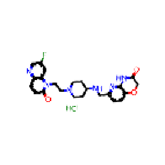 Cl.O=C1COc2ccc(CNC3CCN(CCn4c(=O)ccc5ncc(F)cc54)CC3)nc2N1